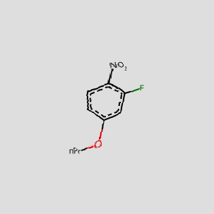 CCCOc1ccc([N+](=O)[O-])c(F)c1